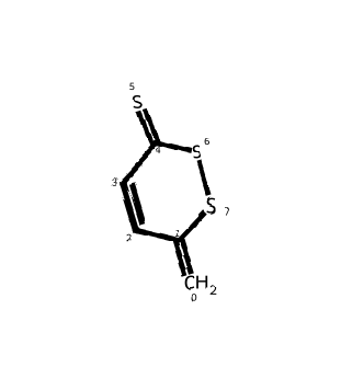 C=C1C=CC(=S)SS1